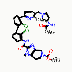 COC(=O)N[C@@H]1CCN(Cc2ccc(-c3cccc(-c4cccc(NC(=O)c5nc6c(n5C)CCN(C(=O)OC(C)(C)C)C6)c4Cl)c3Cl)nc2OC)C1